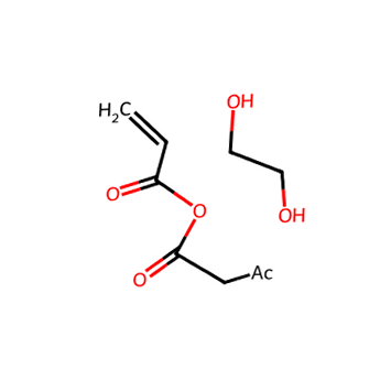 C=CC(=O)OC(=O)CC(C)=O.OCCO